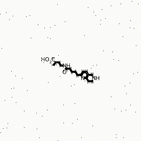 C[C@H](CCNC(=O)CCCCc1ccc2c(n1)CCNC2)C(=O)O